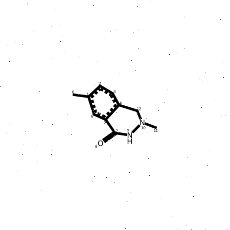 Cc1ccc2c(c1)C(=O)NN(C)C2